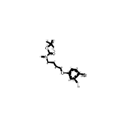 CN(CCCCOc1ccc(Br)c(F)c1)C(=O)OC(C)(C)C